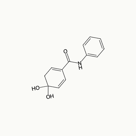 O=C(Nc1ccccc1)C1=CCC(O)(O)C=C1